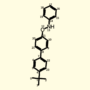 CC(C)(C)c1ccc(-c2ccc(ONc3ccccc3)cc2)cc1